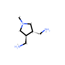 CN1C[C@H](CN)[C@@H](CN)C1